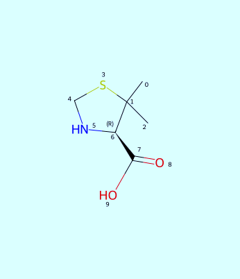 CC1(C)SCN[C@@H]1C(=O)O